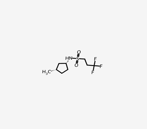 C[C@H]1CC[C@@H](NS(=O)(=O)CCC(F)(F)F)C1